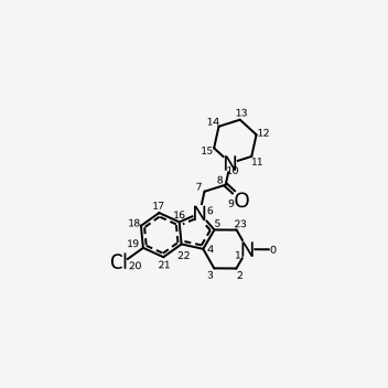 CN1CCc2c(n(CC(=O)N3CCCCC3)c3ccc(Cl)cc23)C1